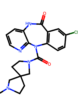 CN1CCC2(CCN(C(=O)N3c4ccc(Cl)cc4C(=O)Nc4cccnc43)C2)C1